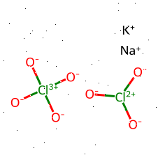 [K+].[Na+].[O-][Cl+2]([O-])[O-].[O-][Cl+3]([O-])([O-])[O-]